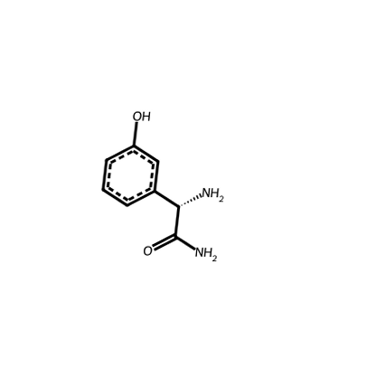 NC(=O)[C@@H](N)c1cccc(O)c1